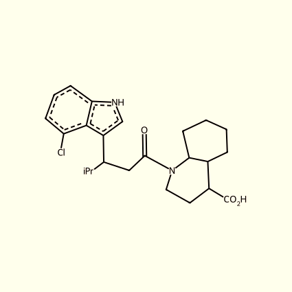 CC(C)C(CC(=O)N1CCC(C(=O)O)C2CCCCC21)c1c[nH]c2cccc(Cl)c12